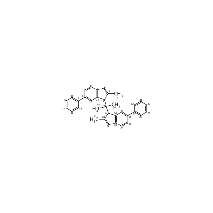 CC1=Cc2ccc(-c3ccccc3)cc2C1C(C)(C)C1C(C)=Cc2ccc(-c3ccccc3)cc21